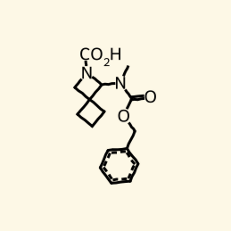 CN(C(=O)OCc1ccccc1)C1N(C(=O)O)CC12CCC2